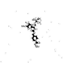 C=C(NC(=O)[C@H](CO[Si](C)(C)C(C)(C)C)NC(=O)OCC1CCN(C(=O)OC(C)(C)C)CC1)C(=O)OC